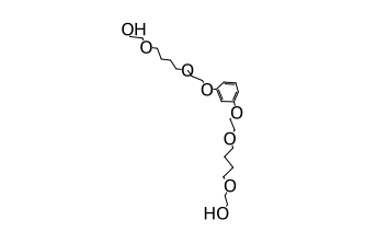 OCCOCCCCOCCOc1cccc(OCCOCCCCOCCO)c1